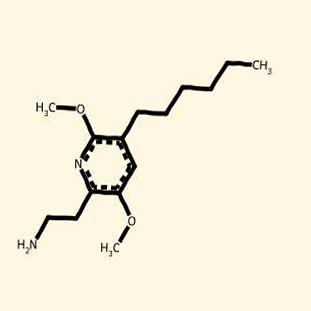 CCCCCCc1cc(OC)c(CCN)nc1OC